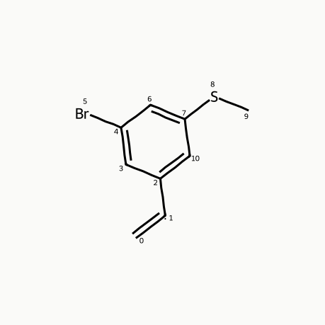 C=[C]c1cc(Br)cc(SC)c1